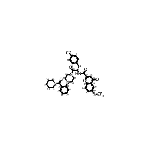 O=C(N[C@H](Cc1ccc(Cl)cc1)C(=O)N1CCN(c2ccccc2C(=O)N2CCCCC2)CC1)c1cc(=O)c2cc(SC(F)(F)F)ccc2o1